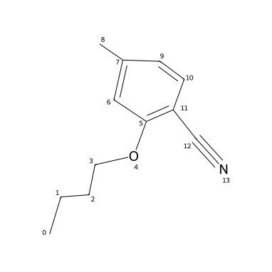 CCCCOc1cc(C)ccc1C#N